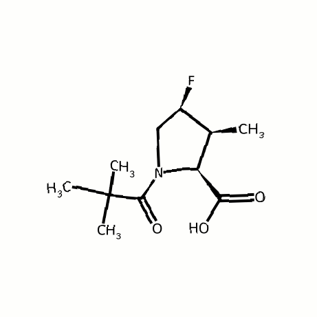 C[C@@H]1[C@H](F)CN(C(=O)C(C)(C)C)[C@@H]1C(=O)O